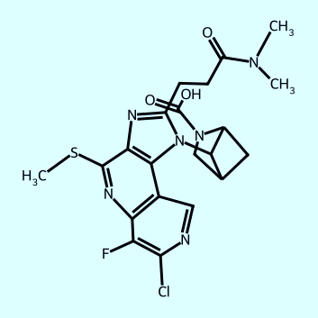 CSc1nc2c(F)c(Cl)ncc2c2c1nc(CCC(=O)N(C)C)n2C1C2CC1N(C(=O)O)C2